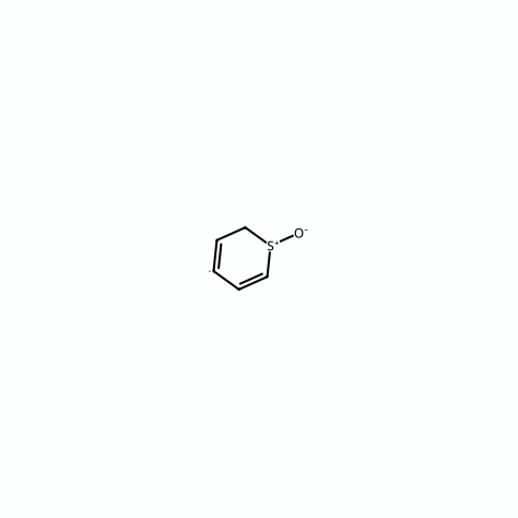 [O-][S+]1C=C[C]=CC1